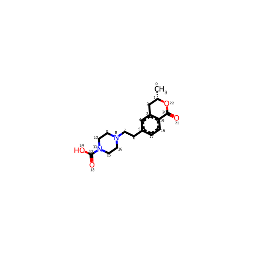 C[C@H]1Cc2cc(CCN3CCN(C(=O)O)CC3)ccc2C(=O)O1